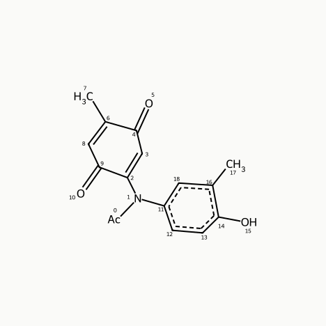 CC(=O)N(C1=CC(=O)C(C)=CC1=O)c1ccc(O)c(C)c1